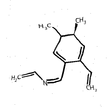 C=C/N=C\C1=CC(C)[C@@H](C)C=C1C=C